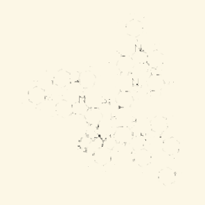 c1ccc(-c2ccccc2-c2cccc3c4c5c(oc6ccccc65)c5c(c4n(-c4ccccc4)c23)Sc2cc(N(c3ccccc3)c3cccc4c3c3ccccc3n4-c3ccccc3)cc3c2B5c2c(c4c(c5cccc(-c6ccccc6-c6ccccc6)c5n4-c4ccccc4)c4c2sc2ccccc24)S3)cc1